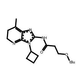 CC1=c2nc(NC(=O)CCOC(C)(C)C)n(C3CCC3)c2=NCC1